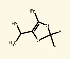 CC(C)C1=C(C(C)S)OC(F)(F)O1